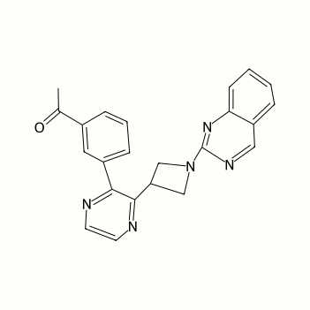 CC(=O)c1cccc(-c2nccnc2C2CN(c3ncc4ccccc4n3)C2)c1